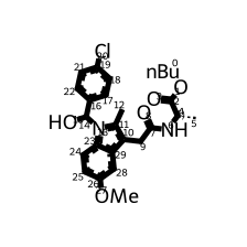 CCCCOC(=O)[C@H](C)NC(=O)Cc1c(C)n(C(O)c2ccc(Cl)cc2)c2ccc(OC)cc12